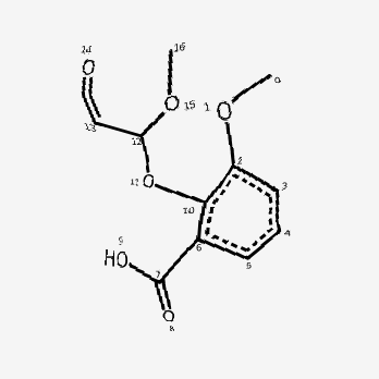 COc1cccc(C(=O)O)c1OC(C=O)OC